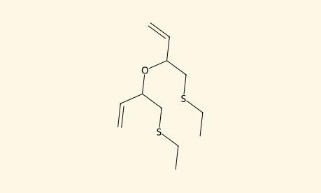 C=CC(CSCC)OC(C=C)CSCC